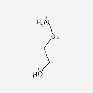 OCC[O][AlH2]